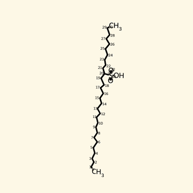 CCCCCCCCCCCCCCCCCCCCC(CCCCCCCCCC)S(=O)(=O)O